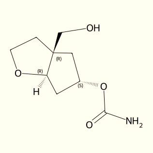 NC(=O)O[C@@H]1C[C@H]2OCC[C@]2(CO)C1